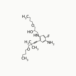 CCCCOCC(O)CNc1cc(F)c(N)cc1C#CC(C)(C)COCCCC